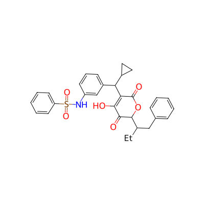 CCC(Cc1ccccc1)C1OC(=O)C(C(c2cccc(NS(=O)(=O)c3ccccc3)c2)C2CC2)=C(O)C1=O